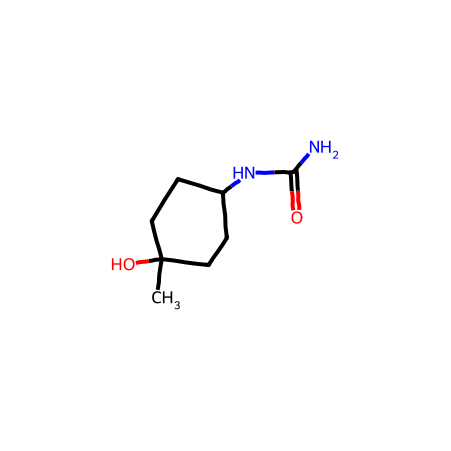 CC1(O)CCC(NC(N)=O)CC1